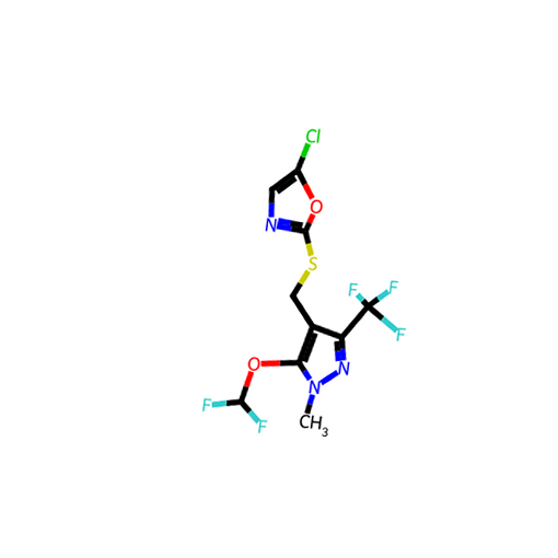 Cn1nc(C(F)(F)F)c(CSc2ncc(Cl)o2)c1OC(F)F